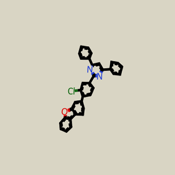 Clc1cc(-c2nc(-c3ccccc3)cc(-c3ccccc3)n2)ccc1-c1ccc2c(c1)oc1ccccc12